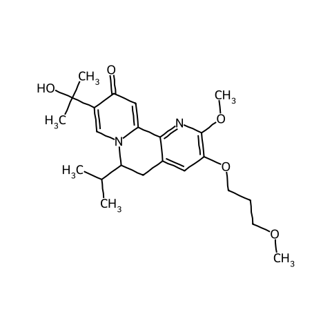 COCCCOc1cc2c(nc1OC)-c1cc(=O)c(C(C)(C)O)cn1C(C(C)C)C2